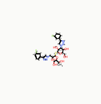 C[C@@H](O)C(CO)OC(S[C@@H]1O[C@H](CO)C(O)C(n2cc(-c3cccc(F)c3)nn2)C1O)[C@@H](O)Cn1cc(-c2cccc(F)c2)nn1